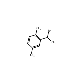 CC(Br)c1cc(C(F)(F)F)ccc1C(F)(F)F